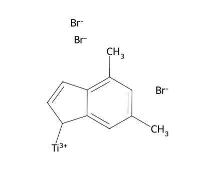 Cc1cc(C)c2c(c1)[CH]([Ti+3])C=C2.[Br-].[Br-].[Br-]